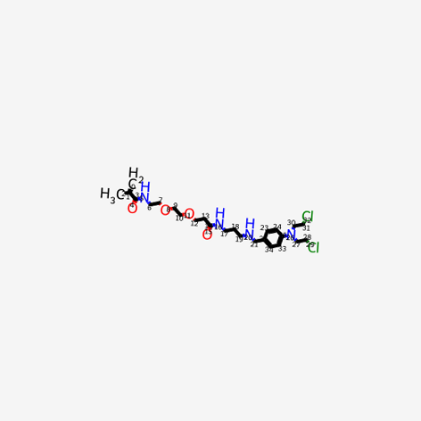 C=C(C)C(=O)NCCOCCOCCC(=O)NCCCNCc1ccc(N(CCCl)CCCl)cc1